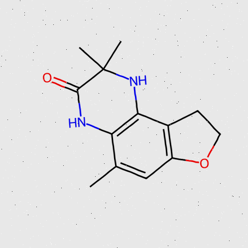 Cc1cc2c(c3c1NC(=O)C(C)(C)N3)CCO2